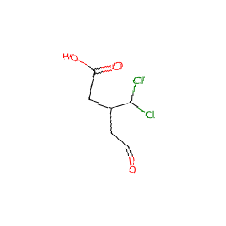 O=CCC(CC(=O)O)C(Cl)Cl